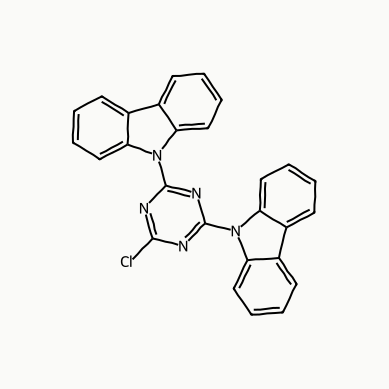 Clc1nc(-n2c3ccccc3c3ccccc32)nc(-n2c3ccccc3c3ccccc32)n1